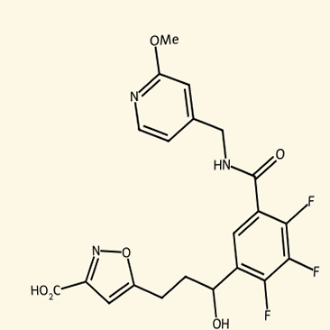 COc1cc(CNC(=O)c2cc(C(O)CCc3cc(C(=O)O)no3)c(F)c(F)c2F)ccn1